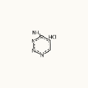 Cl.N.c1cnnnc1